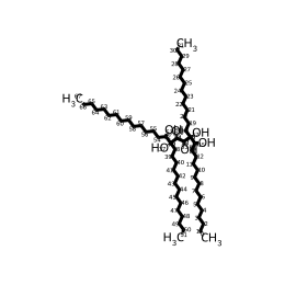 CCCCCCCCCCCCCCC(O)[C@](O)(CCCCCCCCCCCCCC)[C@@H](O)[C@H](O)[C@@](O)(CCCCCCCCCCCCCC)C(O)CCCCCCCCCCCCCC